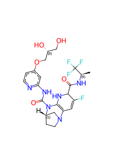 C[C@@H](NC(=O)C1NC2=C(C=C1F)N1CC[C@@H](C1)N2C(=O)Nc1cc(OC[C@H](O)CO)ccn1)C(F)(F)F